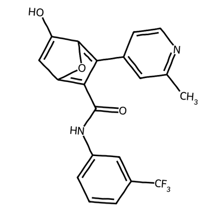 Cc1cc(-c2c(C(=O)Nc3cccc(C(F)(F)F)c3)c3cc(O)c2o3)ccn1